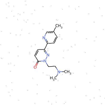 Cc1ccc(-c2ccc(=O)n(CCN(C)C)n2)nc1